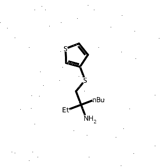 CCCCC(N)(CC)CSc1ccsc1